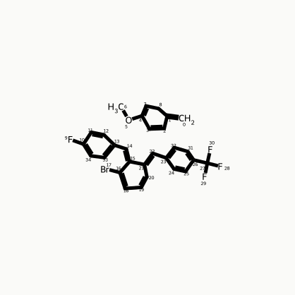 C=C1C=CC(OC)=CC1.Fc1ccc(C=c2c(Br)cccc2=Cc2ccc(C(F)(F)F)cc2)cc1